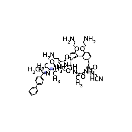 C=N/C(=N\C(C)=C(/C)C(=O)N[C@@H](CCN)C(=O)N(C)[C@@H]1C(=O)N[C@@H](C)C(=O)N[C@H](C(=O)NCC#N)Cc2ccc(OCCN)c(c2)-c2cc1ccc2OCCN)c1ccc(-c2ccccc2)cc1